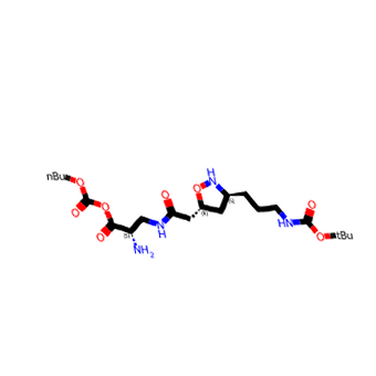 CCCCOC(=O)OC(=O)[C@@H](N)CNC(=O)C[C@H]1C[C@H](CCCNC(=O)OC(C)(C)C)NO1